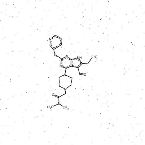 CCc1[nH]c2nc(Sc3cccnc3)nc(N3CCN(CC(=O)N(C)C)CC3)c2c1C=O